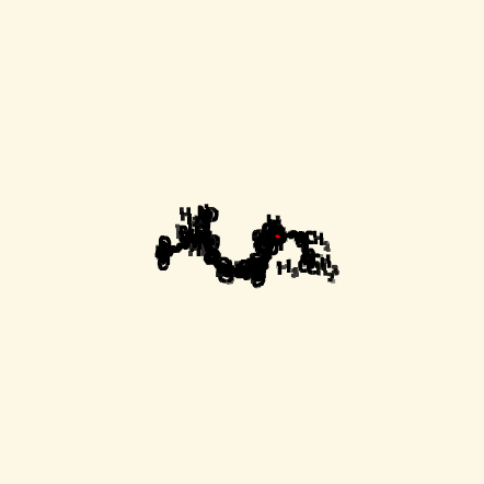 C=C1CC(CC[C@]23C[C@H]4OC(O2)C4C2CC(O3)[C@H]3OC(CC(=O)CC4CO[C@H](CC(O)CNC(=O)OCc5ccc(NC(=O)C(CCCNC(N)=O)NC(=O)[C@@H](NC(=O)CCCCCN6C(=O)C=CC6=O)C(C)C)cc5)[C@@H]4OC)CCC3O2)OC1CCC1C[C@@H](C)C(=C)[C@@H](C)O1